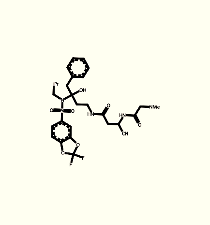 CNCC(=O)NC(C#N)CC(=O)NCCC(O)(Cc1ccccc1)N(CC(C)C)S(=O)(=O)c1ccc2c(c1)OC(F)(F)O2